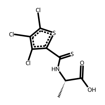 C[C@H](NC(=S)c1sc(Cl)c(Cl)c1Cl)C(=O)O